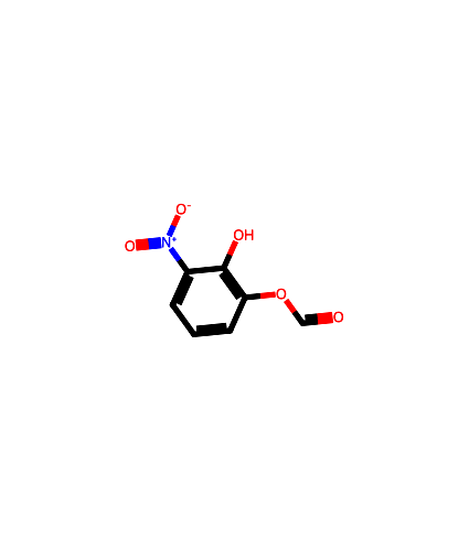 O=COc1cccc([N+](=O)[O-])c1O